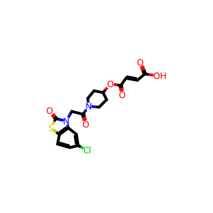 O=C(O)/C=C/C(=O)OC1CCN(C(=O)Cn2c(=O)sc3ccc(Cl)cc32)CC1